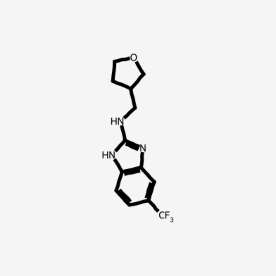 FC(F)(F)c1ccc2[nH]c(NCC3CCOC3)nc2c1